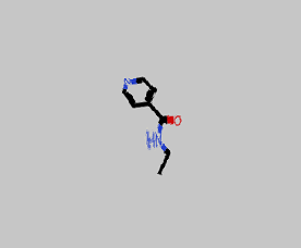 [CH2]CNC(=O)c1ccncc1